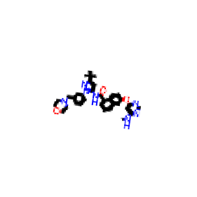 CNc1cc(Oc2ccc3c(C(=O)Nc4cc(C(C)(C)C)nn4-c4cccc(CN5CCOCC5)c4)cccc3c2)ncn1